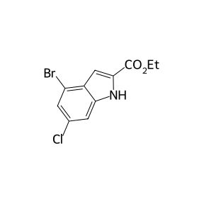 CCOC(=O)c1cc2c(Br)cc(Cl)cc2[nH]1